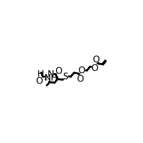 C=CC(=O)OCCOC(=O)CCSCC(CC(C)NC(C)=O)C(N)=O